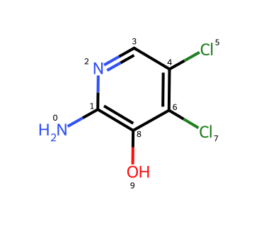 Nc1ncc(Cl)c(Cl)c1O